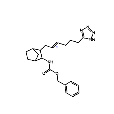 O=C(NC1C2CCC(C2)C1C/C=C/CCCc1nnn[nH]1)OCc1ccccc1